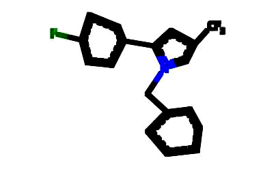 Fc1ccc(-c2cc(C(F)(F)F)cn2Cc2ccccc2)cc1